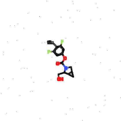 CC(C)(C)c1c(F)cc(OC(=O)N2CC3CC3C2CO)cc1F